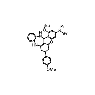 CCC(C)Oc1cc(N(C(C)C)C(C)C)ccc1C1Nc2ccccc2NC2=C1C(=O)CC(c1ccc(OC)cc1)C2